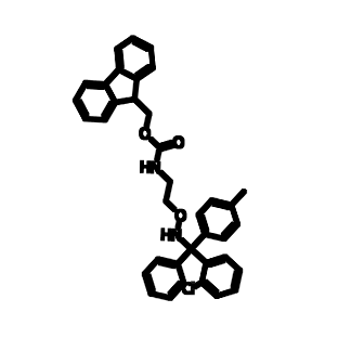 Cc1ccc(C(NOCCNC(=O)OCC2c3ccccc3-c3ccccc32)(c2ccccc2)c2ccccc2Cl)cc1